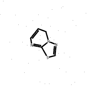 [C]1=NN2CC=CN=C2S1